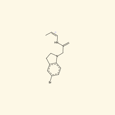 C=C(CN1CCc2cc(Br)ccc21)N/C=C\C